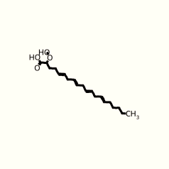 CCCCCC=CCC=CCC=CCC=CCCC(OO)C(=O)O